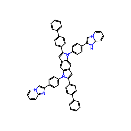 C1=CC2NC(c3ccc(-n4c(-c5ccc(-c6ccccc6)cc5)cc5cc6c(cc(-c7ccc(-c8ccccc8)cc7)n6-c6ccc(-c7cn8ccccc8n7)cc6)cc54)cc3)=CN2C=C1